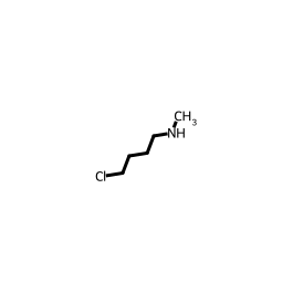 CNCCCCCl